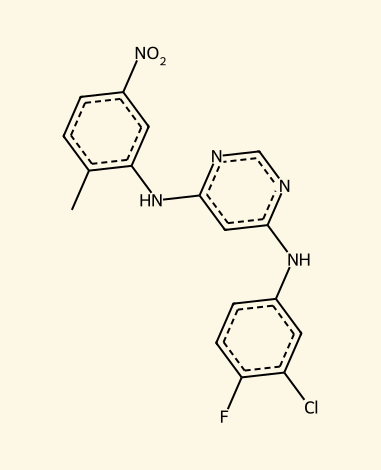 Cc1ccc([N+](=O)[O-])cc1Nc1cc(Nc2ccc(F)c(Cl)c2)ncn1